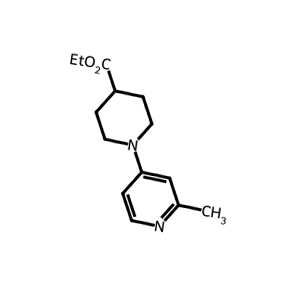 CCOC(=O)C1CCN(c2ccnc(C)c2)CC1